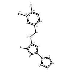 Cc1sc(-n2cccn2)cc1NCc1ccc(Cl)c(Cl)c1